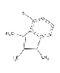 CC1=C(C)C(C)c2ccc[c]([Ti])c21